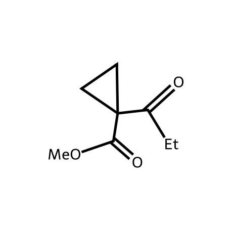 CCC(=O)C1(C(=O)OC)CC1